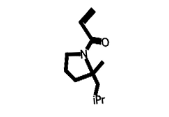 C=CC(=O)N1CCCC1(C)CC(C)C